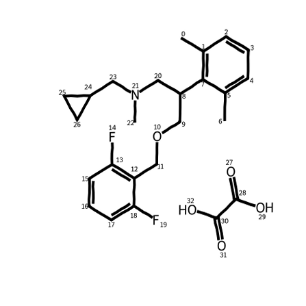 Cc1cccc(C)c1C(COCc1c(F)cccc1F)CN(C)CC1CC1.O=C(O)C(=O)O